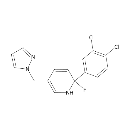 FC1(c2ccc(Cl)c(Cl)c2)C=CC(Cn2cccn2)=CN1